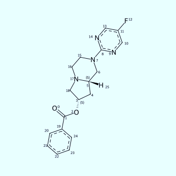 O=C(O[C@H]1C[C@H]2CN(c3ncc(F)cn3)CCN2C1)c1ccccc1